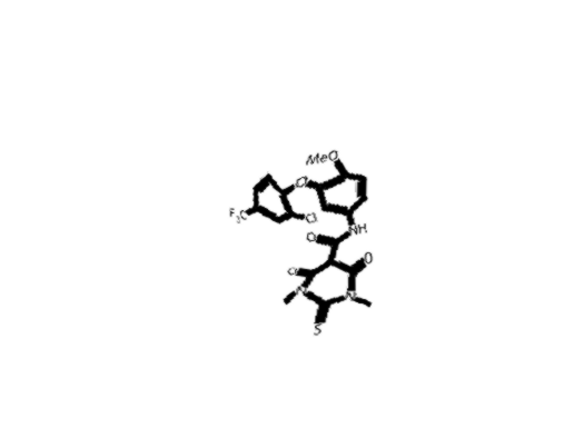 COc1ccc(NC(=O)C2C(=O)N(C)C(=S)N(C)C2=O)cc1Oc1ccc(C(F)(F)F)cc1Cl